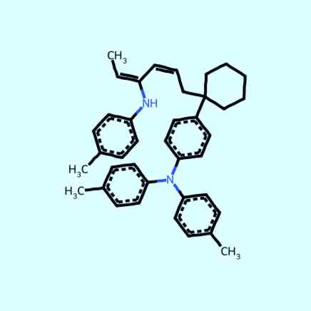 C/C=C(\C=C/CC1(c2ccc(N(c3ccc(C)cc3)c3ccc(C)cc3)cc2)CCCCC1)Nc1ccc(C)cc1